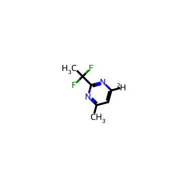 [2H]c1cc(C)nc(C(C)(F)F)n1